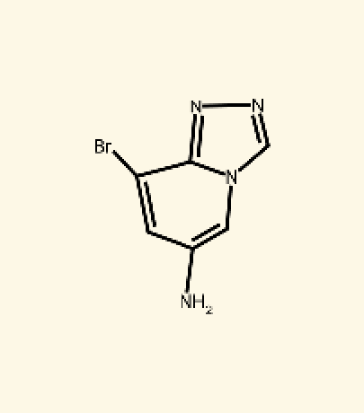 Nc1cc(Br)c2nncn2c1